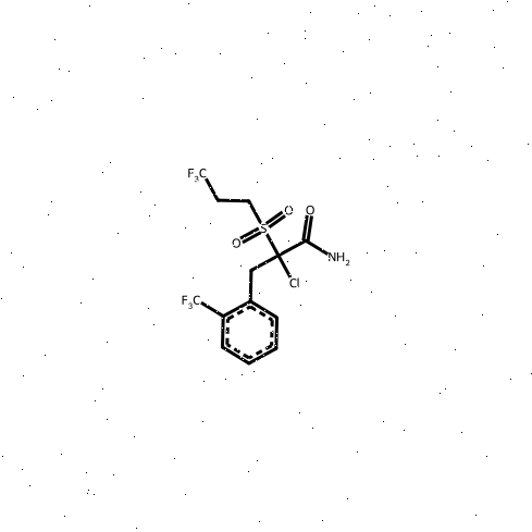 NC(=O)C(Cl)(Cc1ccccc1C(F)(F)F)S(=O)(=O)CCC(F)(F)F